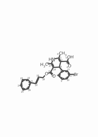 CC1=C(C(=O)O)C(c2cccc(Br)c2)C(C(=O)OC/C=C/c2ccccc2)=C(C)N1